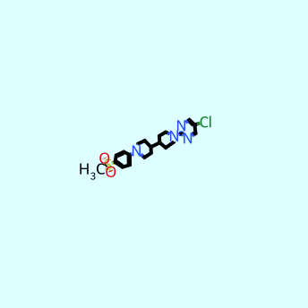 CS(=O)(=O)c1ccc(N2CCC(C3CCN(c4ncc(Cl)cn4)CC3)CC2)cc1